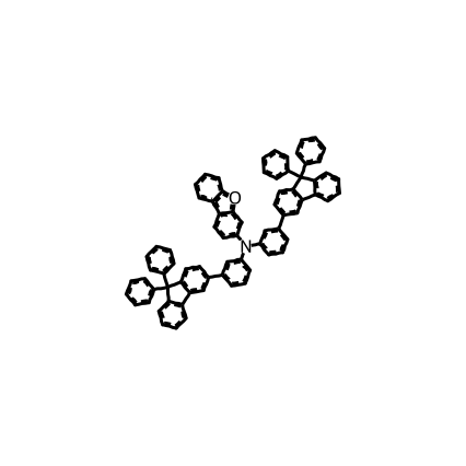 c1ccc(C2(c3ccccc3)c3ccccc3-c3cc(-c4cccc(N(c5cccc(-c6ccc7c(c6)-c6ccccc6C7(c6ccccc6)c6ccccc6)c5)c5ccc6c(c5)oc5ccccc56)c4)ccc32)cc1